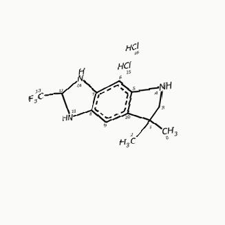 CC1(C)CNc2cc3c(cc21)NC(C(F)(F)F)N3.Cl.Cl